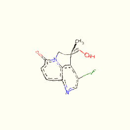 C[C@]1(O)Cn2c(=O)ccc3ncc(F)c1c32